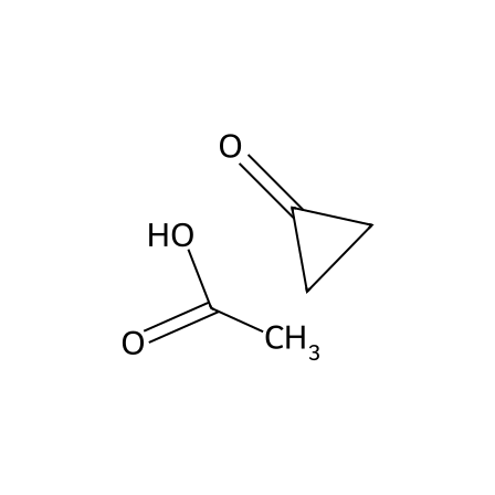 CC(=O)O.O=C1CC1